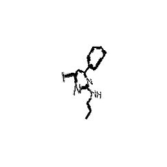 CCCNc1nc(I)cc(-c2ccccc2)n1